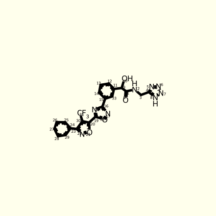 O=C(NCc1nnn[nH]1)C(O)c1cccc(-c2noc(-c3onc(-c4ccccc4)c3C(F)(F)F)n2)c1